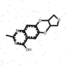 Cc1nc(O)c2cc3c(cc2n1)OC1COCC1O3